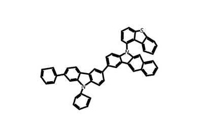 c1ccc(-c2ccc3c4cc(-c5ccc6c(c5)c5cc7ccccc7cc5n6-c5cccc6sc7ccccc7c56)ccc4n(-c4ccccc4)c3c2)cc1